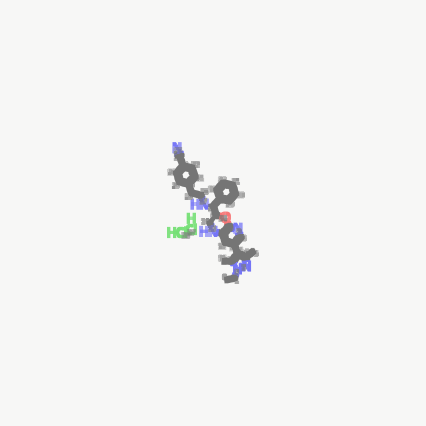 CCn1nc(C)c(-c2cnc3c(c2)NC[C@@H]([C@H](NCCc2ccc(C#N)cc2)c2ccccc2)O3)c1C.Cl.Cl